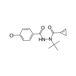 CC(C)(C)N(NC(=O)c1ccc(Cl)cc1)C(=O)C1=CC1